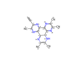 C#Cc1nc2c(nc1C#N)C1=NC(C#N)=C(C#N)NC1c1nc(C#N)c(C#N)nc1-2